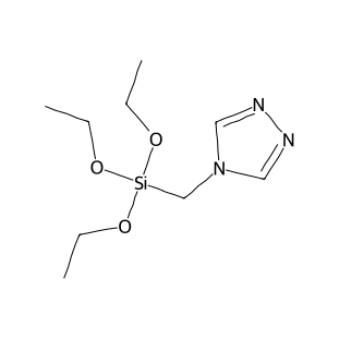 CCO[Si](Cn1cnnc1)(OCC)OCC